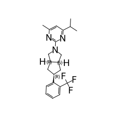 Cc1cc(C(C)C)nc(N2C[C@H]3C[C@@H](c4ccccc4C(F)(F)F)C[C@H]3C2)n1